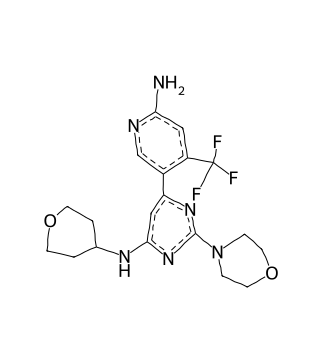 Nc1cc(C(F)(F)F)c(-c2cc(NC3CCOCC3)nc(N3CCOCC3)n2)cn1